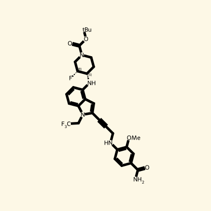 COc1cc(C(N)=O)ccc1NCC#Cc1cc2c(N[C@H]3CCN(C(=O)OC(C)(C)C)C[C@H]3F)cccc2n1CC(F)(F)F